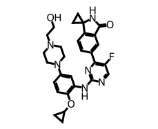 O=C1NC2(CC2)c2ccc(-c3nc(Nc4cc(N5CCN(CCO)CC5)ccc4OC4CC4)ncc3F)cc21